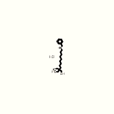 Cl.OCC(CO)(CO)CCCCCCCCCNCc1ccccc1